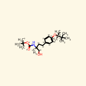 CC(C)(C)OC(=O)N[C@@](C)(CO)CCc1ccc(O[Si](C)(C)C(C)(C)C)cc1